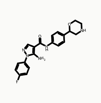 Nc1c(C(=O)Nc2ccc(C3CNCCO3)cc2)cnn1-c1ccc(F)cc1